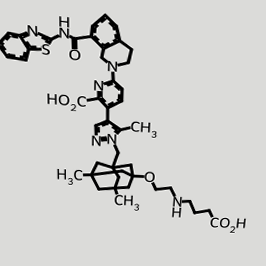 Cc1c(-c2ccc(N3CCc4cccc(C(=O)Nc5nc6ccccc6s5)c4C3)nc2C(=O)O)cnn1CC12CC3(C)CC(C)(C1)CC(OCCNCCCC(=O)O)(C3)C2